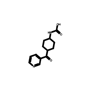 O=C(O)NC1CCC(C(=O)c2cccnc2)CC1